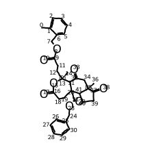 Cc1ccccc1COC(=O)CC[C@@]1(C)OC(=O)CCC2(C(=O)OCc3ccccc3)C1C(=O)C[C@]1(C)C(=O)CCC21